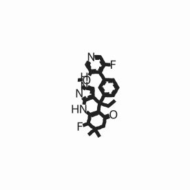 CCC1(c2cccc(-c3c(F)cncc3OC)c2)C2=C(Nc3n[nH]cc31)C(F)C(C)(C)CC2=O